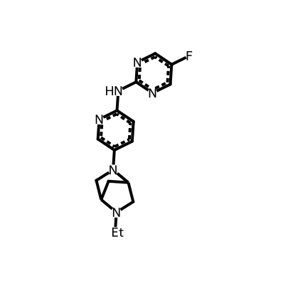 CCN1CC2CC1CN2c1ccc(Nc2ncc(F)cn2)nc1